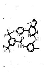 Cc1ccc(NC(=O)c2cc(C(F)(F)F)cc(C(F)(F)F)c2)cc1Nc1nc(-c2cccnc2)c2[nH]ccc2n1